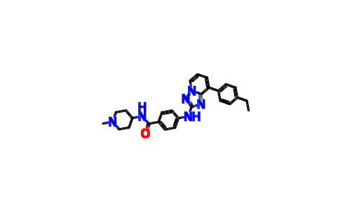 CCc1ccc(-c2cccn3nc(Nc4ccc(C(=O)NC5CCN(C)CC5)cc4)nc23)cc1